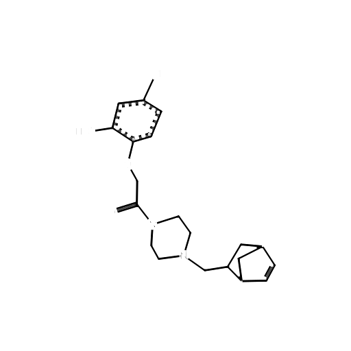 Cc1cc(Cl)ccc1OCC(=O)N1CCN(CC2CC3C=CC2C3)CC1